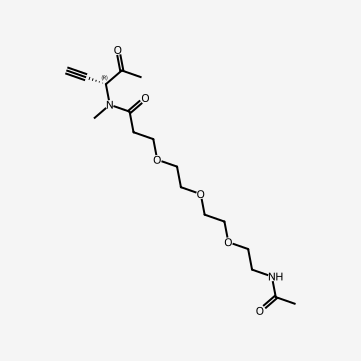 C#C[C@H](C(C)=O)N(C)C(=O)CCOCCOCCOCCNC(C)=O